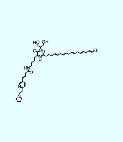 CCC=CCC=CCC=CCC=CCC=CCCCC(=O)N[C@@H](CCCCNC(=O)CC=Cc1ccc(CCN2CCCC2)nc1)C(=O)OC(CO)CO